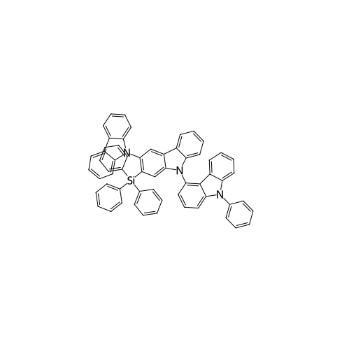 c1ccc(-n2c3ccccc3c3c(-n4c5ccccc5c5cc(-n6c7ccccc7c7ccccc76)c([Si](c6ccccc6)(c6ccccc6)c6ccccc6)cc54)cccc32)cc1